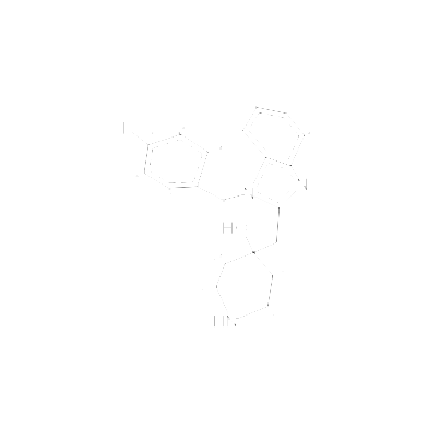 OC1(Cc2nc3ccccc3n2Cc2ccc(F)cc2)CCNCC1